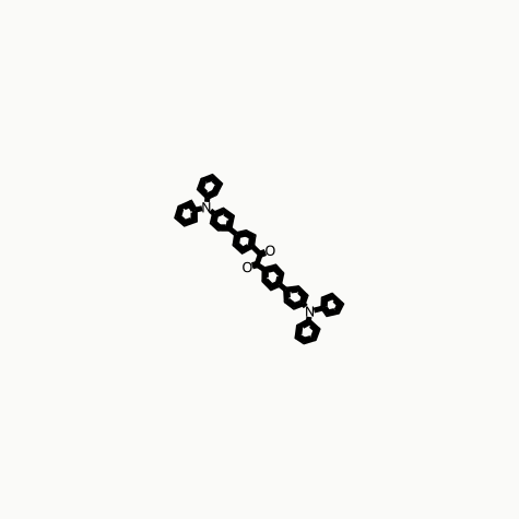 O=C(C(=O)c1ccc(-c2ccc(N(c3ccccc3)c3ccccc3)cc2)cc1)c1ccc(-c2ccc(N(c3ccccc3)c3ccccc3)cc2)cc1